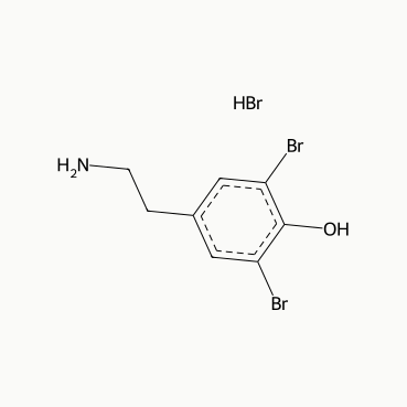 Br.NCCc1cc(Br)c(O)c(Br)c1